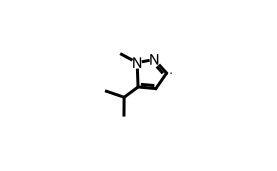 CC(C)c1c[c]nn1C